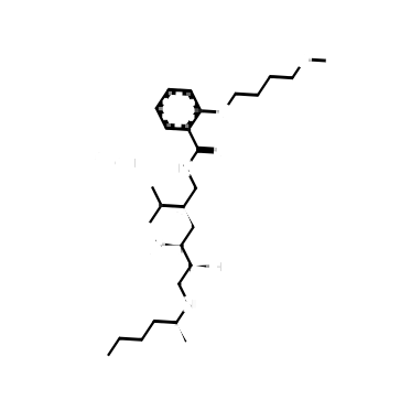 CCCC[C@H](C)NC[C@H](O)[C@@H](N)C[C@H](CNC(=O)c1ccccc1OCCCCOC)C(C)C.Cl.Cl